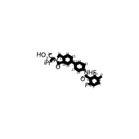 Cc1ccc(F)c(C(=O)Nc2ccc(-c3ccc4c(c3)C(=O)N(C(C(=O)O)C(C)C)C4)cc2)c1F